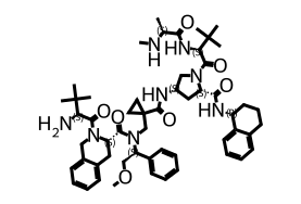 CN[C@@H](C)C(=O)N[C@H](C(=O)N1C[C@@H](NC(=O)C2(CN(C(=O)[C@@H]3Cc4ccccc4CN3C(=O)[C@@H](N)C(C)(C)C)[C@H](COC)c3ccccc3)CC2)C[C@H]1C(=O)N[C@@H]1CCCc2ccccc21)C(C)(C)C